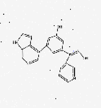 O/N=C(\c1cccnc1)c1cc(O)cc(-c2cccc3[nH]ccc23)c1